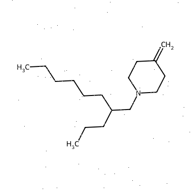 C=C1CCN(CC(CCC)CCCCCC)CC1